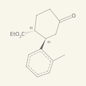 CCOC(=O)[C@@H]1CCC(=O)C[C@H]1c1ccccc1C